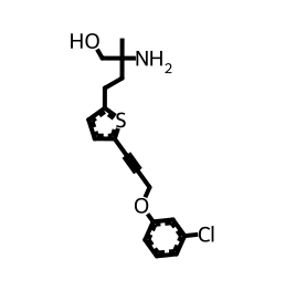 CC(N)(CO)CCc1ccc(C#CCOc2cccc(Cl)c2)s1